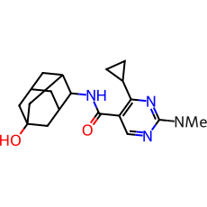 CNc1ncc(C(=O)NC2C3CC4CC2CC(O)(C4)C3)c(C2CC2)n1